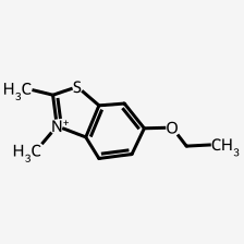 CCOc1ccc2c(c1)sc(C)[n+]2C